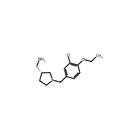 CCOc1ccc(CN2CC[C@H](CN)C2)cc1Cl